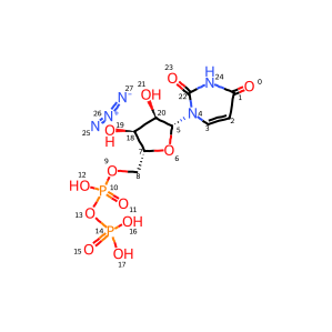 O=c1ccn([C@@H]2O[C@H](COP(=O)(O)OP(=O)(O)O)[C@@H](O)[C@H]2O)c(=O)[nH]1.[N-]=[N+]=[N-]